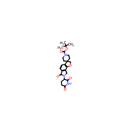 CC(C)(C)OC(=O)N1CCC2(CC1)COc1c2ccc2c1CN(C1CCC(=O)NC1=O)C2=O